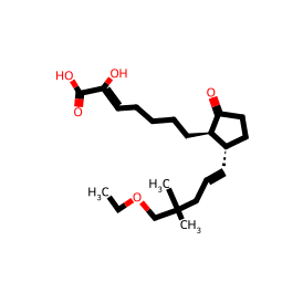 CCOCC(C)(C)CC=C[C@H]1CCC(=O)[C@@H]1CCCCC=C(O)C(=O)O